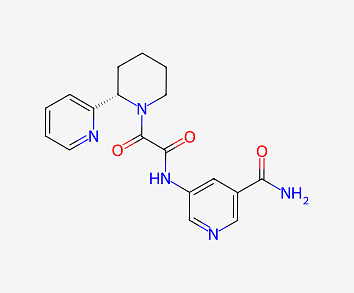 NC(=O)c1cncc(NC(=O)C(=O)N2CCCC[C@H]2c2ccccn2)c1